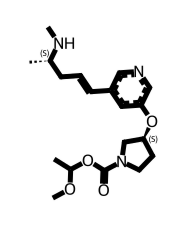 CN[C@@H](C)CC=Cc1cncc(O[C@H]2CCN(C(=O)OC(C)OC)C2)c1